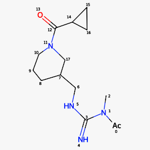 CC(=O)N(C)C(=N)NCC1CCCN(C(=O)C2CC2)C1